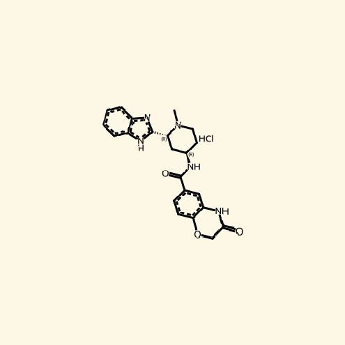 CN1CC[C@@H](NC(=O)c2ccc3c(c2)NC(=O)CO3)C[C@@H]1c1nc2ccccc2[nH]1.Cl